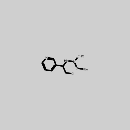 CC(C)(C)ON(C=O)NC(CCl)c1cccnc1